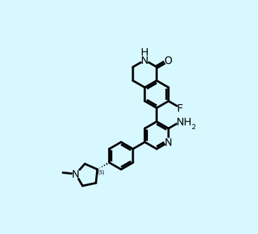 CN1CC[C@@H](c2ccc(-c3cnc(N)c(-c4cc5c(cc4F)C(=O)NCC5)c3)cc2)C1